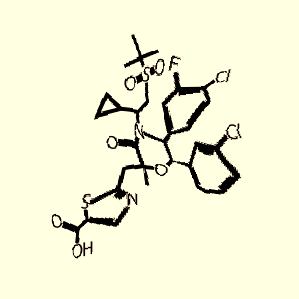 CC(C)(C)S(=O)(=O)CC(C1CC1)N1C(=O)[C@@](C)(Cc2ncc(C(=O)O)s2)O[C@H](c2cccc(Cl)c2)C1c1ccc(Cl)c(F)c1